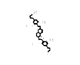 Cc1ccc(-c2cc(C)c(-c3cc4ccc5c(ccc6cc(-c7c(C)cc(-c8ccc(C)s8)cc7C)sc65)c4s3)c(C)c2)s1